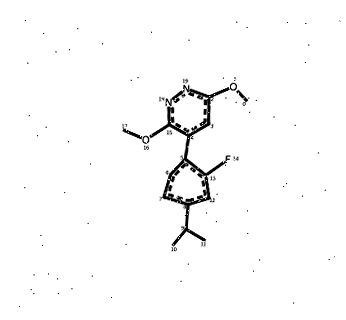 COc1cc(-c2ccc(C(C)C)cc2F)c(OC)nn1